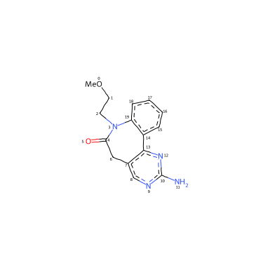 COCCN1C(=O)Cc2cnc(N)nc2-c2ccccc21